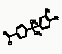 CCc1ccc(C(C)(C)c2ccc(C(=O)Cl)cc2)cc1CC